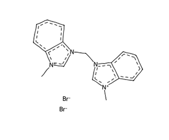 C[n+]1cn(Cn2c[n+](C)c3ccccc32)c2ccccc21.[Br-].[Br-]